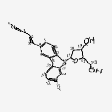 N#C/C=C/c1ccc2c(c1)c1ccccc1n2[C@H]1C[C@@H](O)C(CO)O1